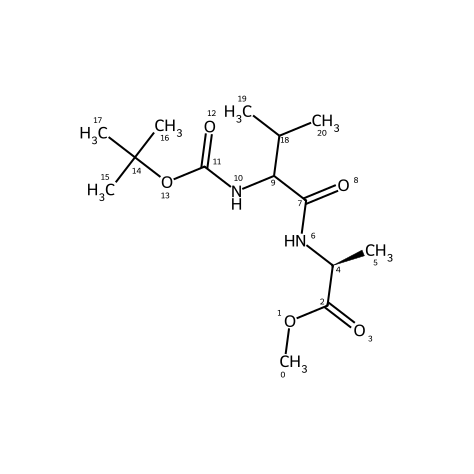 COC(=O)[C@H](C)NC(=O)C(NC(=O)OC(C)(C)C)C(C)C